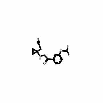 N#CCC1(NCC(=O)c2cccc(OC(F)F)c2)CC1